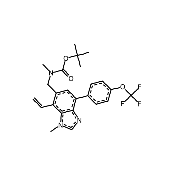 C=Cc1c(CN(C)C(=O)OC(C)(C)C)cc(-c2ccc(OC(F)(F)F)cc2)c2ncn(C)c12